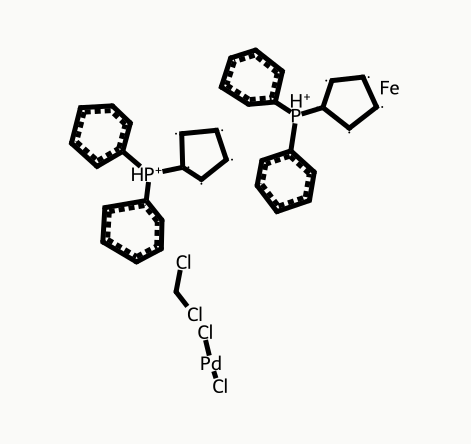 ClCCl.[CH]1[CH][CH][C]([PH+](c2ccccc2)c2ccccc2)[CH]1.[CH]1[CH][CH][C]([PH+](c2ccccc2)c2ccccc2)[CH]1.[Cl][Pd][Cl].[Fe]